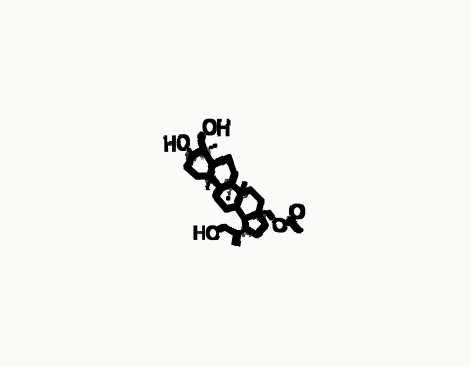 C=C(CO)[C@@H]1CC[C@]2(COC(C)=O)CC[C@]3(C)C(CCC4[C@@]5(C)CC[C@H](O)[C@@](C)(CO)C5CC[C@]43C)C12